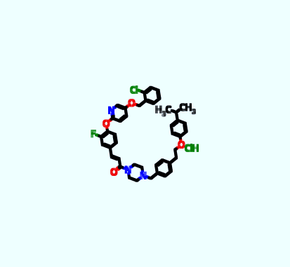 CC(C)c1ccc(OCCc2ccc(CN3CCN(C(=O)C=Cc4ccc(Oc5ccc(OCc6ccccc6Cl)cn5)c(F)c4)CC3)cc2)cc1.Cl